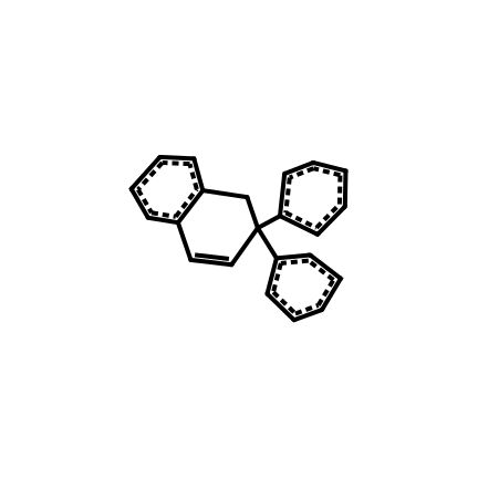 C1=CC(c2ccccc2)(c2ccccc2)Cc2ccccc21